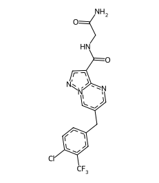 NC(=O)CNC(=O)c1cnn2cc(Cc3ccc(Cl)c(C(F)(F)F)c3)cnc12